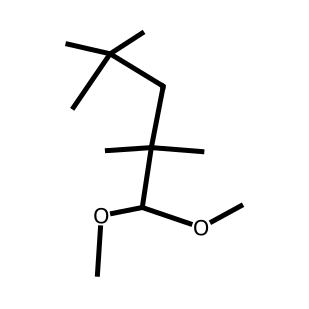 COC(OC)C(C)(C)CC(C)(C)C